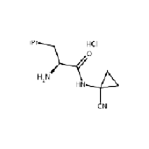 CC(C)C[C@H](N)C(=O)NC1(C#N)CC1.Cl